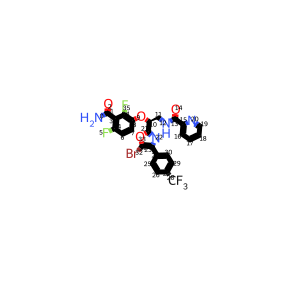 NC(=O)c1c(F)ccc(O[C@@H](CNC(=O)c2ccccn2)c2nc(-c3ccc(C(F)(F)F)cc3)c(Br)o2)c1F